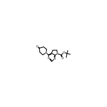 CC(C)(C)OC(=O)N1CCc2c(N3CCC(=O)CC3)ncnc21